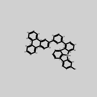 Cc1ccc2c3cccc4c5c(-c6cccc(-c7ccc8c9ccccc9c9ccccc9c8c7)c6)cccc5n(c2c1)c34